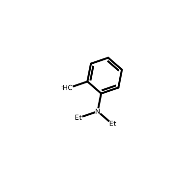 [CH]c1ccccc1N(CC)CC